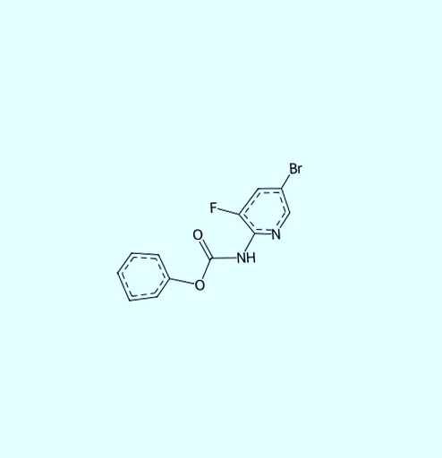 O=C(Nc1ncc(Br)cc1F)Oc1ccccc1